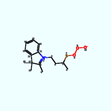 CC1=[N+](CCC(C)SOO[O-])c2ccccc2C1(C)C